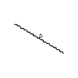 CCCCCCCCCCCCCCCC(CCCCCCCCCCCCCCC)OC